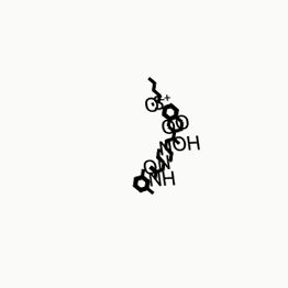 CCCC[S+]([O-])c1ccc2c(c1)OC(C(O)CN1CCN(CC(=O)Nc3c(C)cccc3C)CC1)CO2